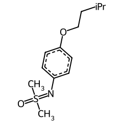 CC(C)CCOc1ccc(N=S(C)(C)=O)cc1